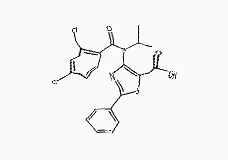 CC(C)N(C(=O)c1ccc(Cl)cc1Cl)c1nc(-c2ccccc2)sc1C(=O)O